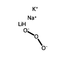 [K+].[LiH].[Na+].[O-]O[O-]